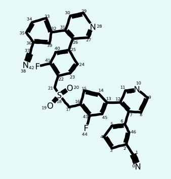 N#Cc1cccc(-c2ccncc2-c2ccc(CS(=O)(=O)Cc3ccc(-c4cnccc4-c4cccc(C#N)c4)cc3F)c(F)c2)c1